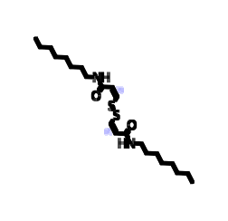 CCCCCCCCNC(=O)/C=C\SS/C=C\C(=O)NCCCCCCCC